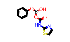 O=C(Nc1nccs1)OB(O)Oc1ccccc1